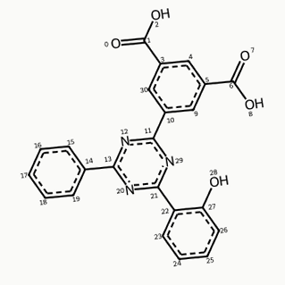 O=C(O)c1cc(C(=O)O)cc(-c2nc(-c3ccccc3)nc(-c3ccccc3O)n2)c1